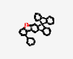 c1ccc(-c2cccc3oc4cc5c(cc4c23)-c2ccccc2C52c3ccccc3-c3ccccc32)cc1